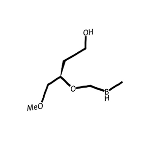 CBCO[C@H](CCO)COC